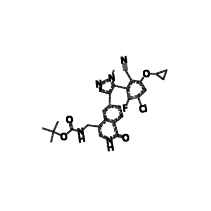 Cn1ncc(-c2ccc3c(=O)[nH]cc(CNC(=O)OC(C)(C)C)c3c2)c1-c1c(F)c(Cl)cc(OC2CC2)c1C#N